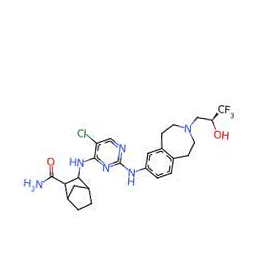 NC(=O)C1C2CCC(C2)C1Nc1nc(Nc2ccc3c(c2)CCN(C[C@H](O)C(F)(F)F)CC3)ncc1Cl